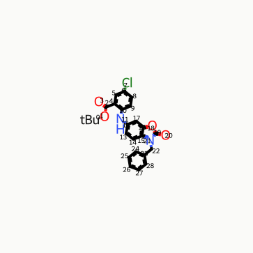 CC(C)(C)OC(=O)c1cc(Cl)ccc1Nc1ccc2c(c1)oc(=O)n2Cc1ccccc1